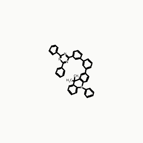 CC1(C)c2ccccc2N(c2ccccc2)c2ccc(-c3cccc(-c4cccc(-c5nc(-c6ccccc6)nc(-c6ccccc6)n5)c4)c3)cc21